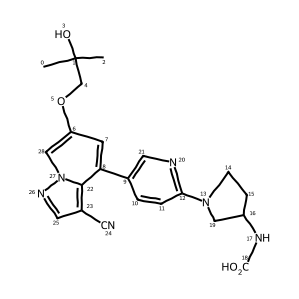 CC(C)(O)COc1cc(-c2ccc(N3CCC(NC(=O)O)C3)nc2)c2c(C#N)cnn2c1